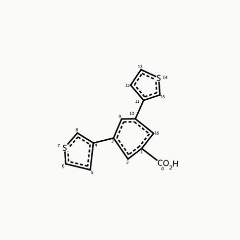 O=C(O)c1cc(-c2ccsc2)cc(-c2ccsc2)c1